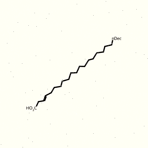 CCCCCCCCCCCCCCCCCCCCCCCCCC=CCC(=O)O